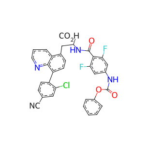 N#Cc1ccc(-c2ccc(CC(NC(=O)c3c(F)cc(NC(=O)Oc4ccccc4)cc3F)C(=O)O)c3cccnc23)c(Cl)c1